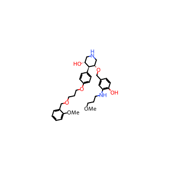 COCCCNc1cc(CO[C@H]2CNC[C@@H](O)[C@@H]2c2ccc(OCCCOCc3ccccc3OC)cc2)ccc1O